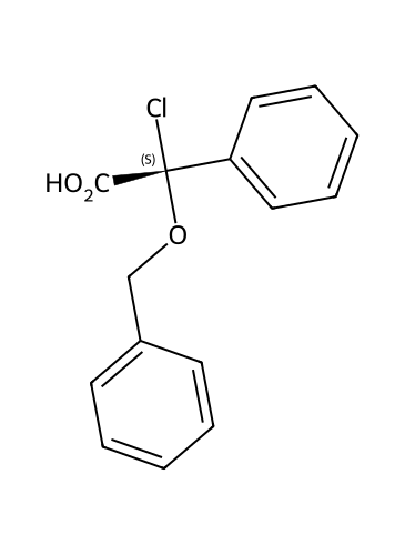 O=C(O)[C@](Cl)(OCc1ccccc1)c1ccccc1